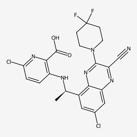 C[C@@H](Nc1ccc(Cl)nc1C(=O)O)c1cc(Cl)cc2nc(C#N)c(N3CCC(F)(F)CC3)nc12